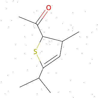 CC(=O)C1SC(C(C)C)=CC1C